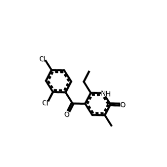 CCc1[nH]c(=O)c(C)cc1C(=O)c1ccc(Cl)cc1Cl